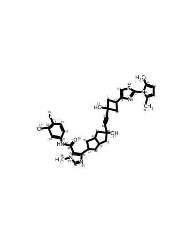 Cc1ccc(C)n1-c1nc(C2CC(O)(C#CC3(O)CC4CC(c5ncn(C)c5C(=O)Nc5ccc(F)c(Cl)c5)CC4C3)C2)cs1